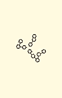 C1=CC2c3ccc(N(c4ccc(-c5ccc6ccccc6c5)cc4)c4ccc(-c5cccc6oc7ccccc7c56)cc4)cc3SC2C=C1c1ccccc1C1=CC=C2Oc3ccccc3C2C1